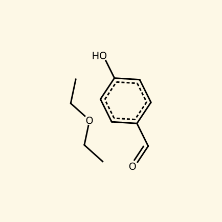 CCOCC.O=Cc1ccc(O)cc1